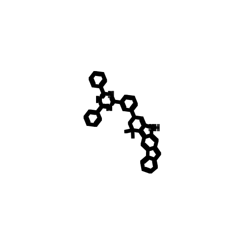 CC1(C)CC(c2cccc(-c3nc(-c4ccccc4)nc(-c4ccccc4)n3)c2)C=c2[nH]c3cc4c(cc3c21)-c1ccccc1C=4